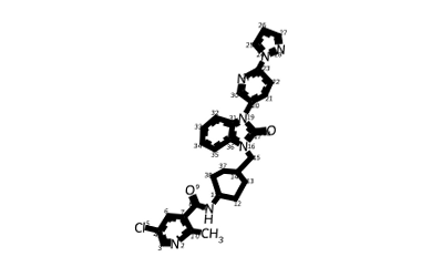 Cc1ncc(Cl)cc1C(=O)NC1CCC(Cn2c(=O)n(-c3ccc(-n4cccn4)nc3)c3ccccc32)CC1